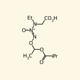 CCN(CC(=O)O)/[N+]([O-])=N/OC(C)OC(=O)C(C)C